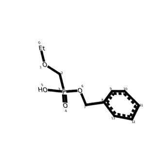 CCOCP(=O)(O)OCc1ccccc1